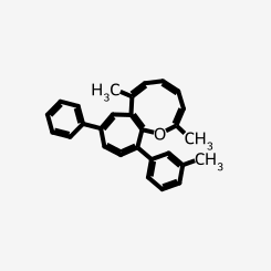 Cc1cccc(C2=C=CC(c3ccccc3)=Cc3c(C)ccccc(C)oc32)c1